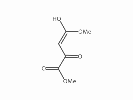 COC(=O)C(=O)/C=C(/O)OC